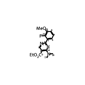 CCOC(=O)c1cnc(-c2cccc(OC)c2F)nc1N(C)C